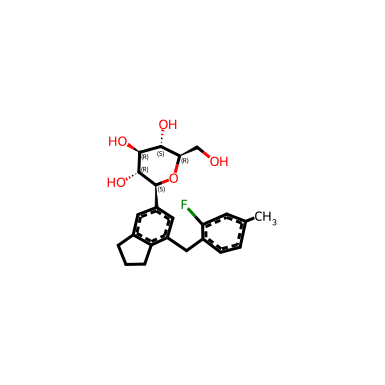 Cc1ccc(Cc2cc([C@@H]3O[C@H](CO)[C@@H](O)[C@H](O)[C@H]3O)cc3c2CCC3)c(F)c1